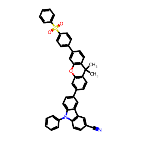 CC1(C)c2ccc(-c3ccc(S(=O)(=O)c4ccccc4)cc3)cc2Oc2cc(-c3ccc4c(c3)c3cc(C#N)ccc3n4-c3ccccc3)ccc21